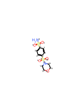 NS(=O)(=O)c1ccc(S(=O)(=O)N2CCOCC2)cc1